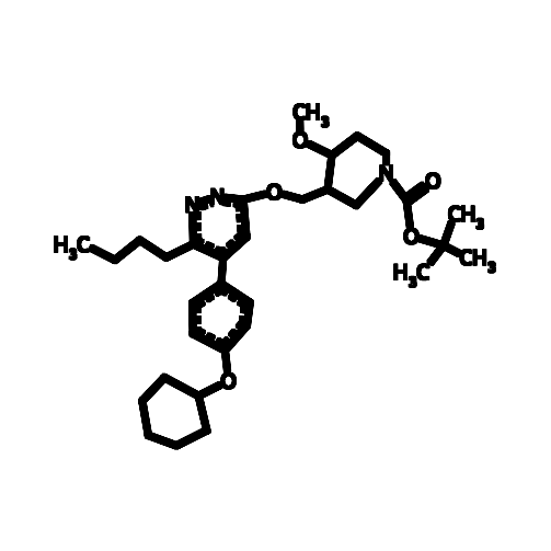 CCCCc1nnc(OCC2CN(C(=O)OC(C)(C)C)CCC2OC)cc1-c1ccc(OC2CCCCC2)cc1